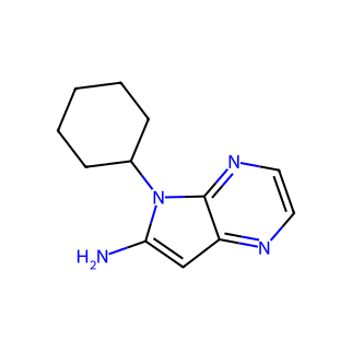 Nc1cc2nccnc2n1C1CCCCC1